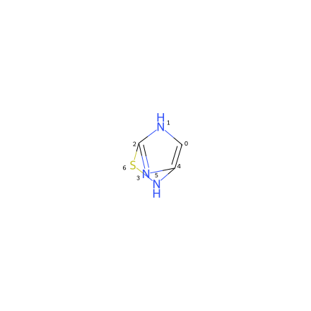 c1[nH]c2nc1NS2